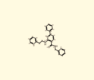 O=C(NCc1ccccn1)c1ccc(-c2ccccc2)nc1NCCc1ccccn1